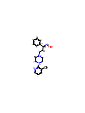 N#Cc1cccnc1N1CCN(CC/C(=N\O)c2ccccc2)CC1